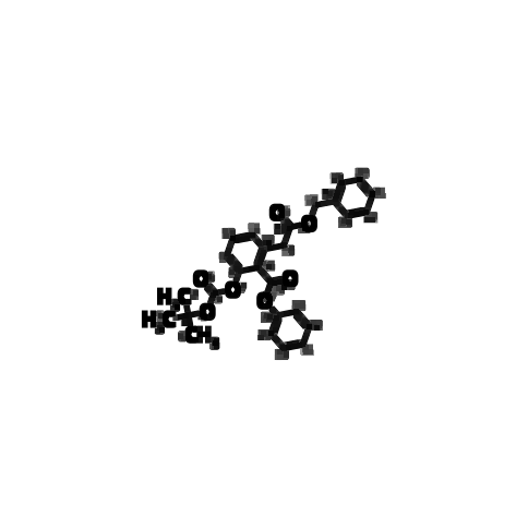 CC(C)(C)OC(=O)Oc1cccc(CC(=O)OCc2ccccc2)c1C(=O)Oc1ccccc1